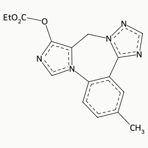 CCOC(=O)Oc1ncn2c1Cn1ncnc1-c1cc(C)ccc1-2